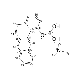 CN(C)C.OB(O)Oc1cccc2ccc3cc4ccccc4cc3c12